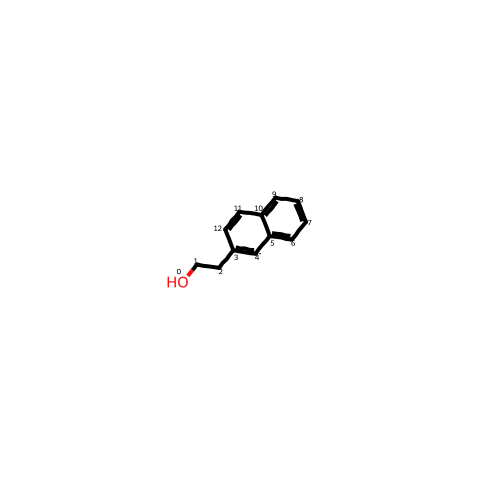 OCCc1[c]c2ccccc2cc1